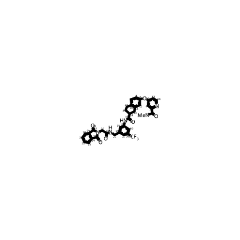 CNC(=O)c1cc(Oc2ccc3c(c2)CC(C(=O)Nc2cc(CNC(=O)CN4C(=O)c5ccccc5C4=O)cc(C(F)(F)F)c2)CC3)ccn1